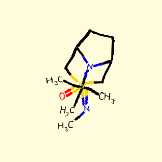 CN=S1(=O)CC2CCC(C1)N2C(C)(C)C